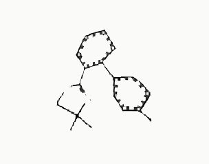 Cc1ccc(-c2ccccc2C2=NC(C)(C)CO2)cc1